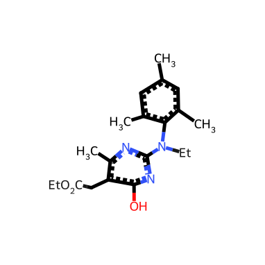 CCOC(=O)Cc1c(C)nc(N(CC)c2c(C)cc(C)cc2C)nc1O